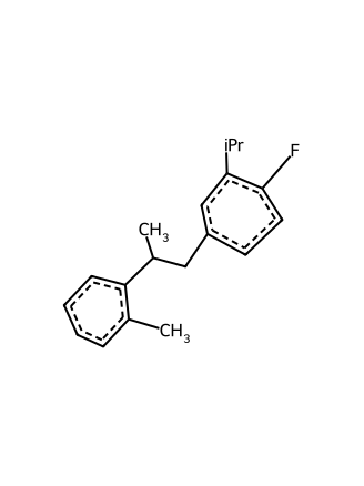 Cc1ccccc1C(C)Cc1ccc(F)c(C(C)C)c1